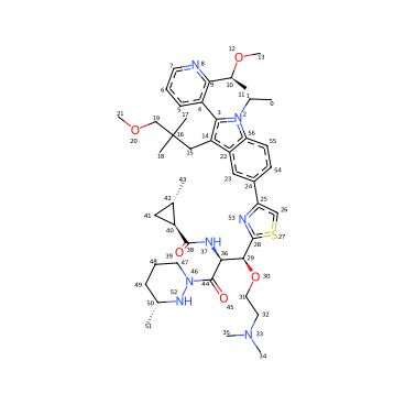 CCn1c(-c2cccnc2[C@H](C)OC)c(CC(C)(C)COC)c2cc(-c3csc([C@@H](OCCN(C)C)[C@H](NC(=O)[C@H]4C[C@@H]4C)C(=O)N4CCC[C@@H](C)N4)n3)ccc21